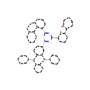 c1ccc(-c2c3ccccc3c(-c3ccccc3)c3cc(-c4nc(-c5cccc6c5oc5ccccc56)nc(-c5cccc6ccc7ccccc7c56)n4)ccc23)cc1